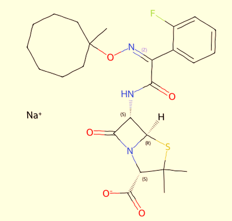 CC1(O/N=C(\C(=O)N[C@H]2C(=O)N3[C@@H]2SC(C)(C)[C@@H]3C(=O)[O-])c2ccccc2F)CCCCCCC1.[Na+]